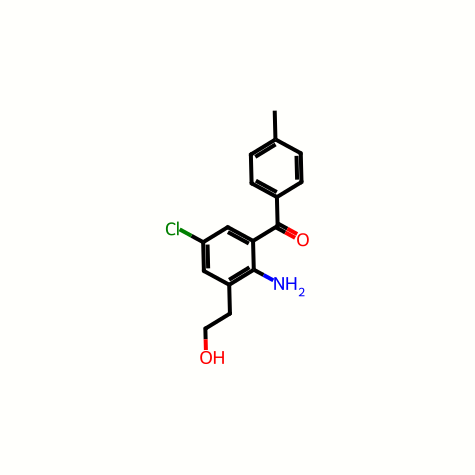 Cc1ccc(C(=O)c2cc(Cl)cc(CCO)c2N)cc1